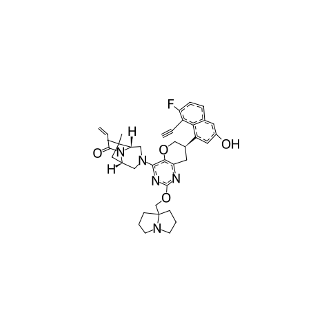 C#Cc1c(F)ccc2cc(O)cc([C@@H]3COc4c(nc(OCC56CCCN5CCC6)nc4N4C[C@@H]5CC(C)(C)[C@H](C4)N5C(=O)C=C)C3)c12